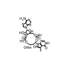 CO[C@@H]1COP(=O)(S)O[C@H]2[C@@H](O)[C@H](n3cnc4c(N)ncnc43)O[C@@H]2COP(=O)(S)O[C@@H](n2cc(F)c3c(=O)[nH]cnc32)[C@@H]1O